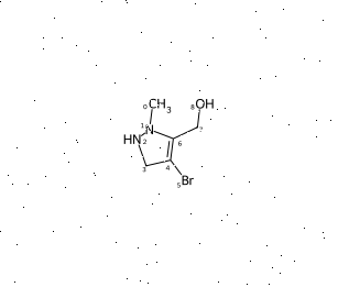 CN1NCC(Br)=C1CO